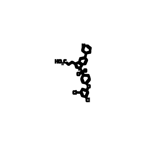 O=C(O)CCc1cn(S(=O)(=O)c2ccc(Oc3cc(Cl)cc(Cl)c3)cc2)c2ccc(-c3cccnc3)cc12